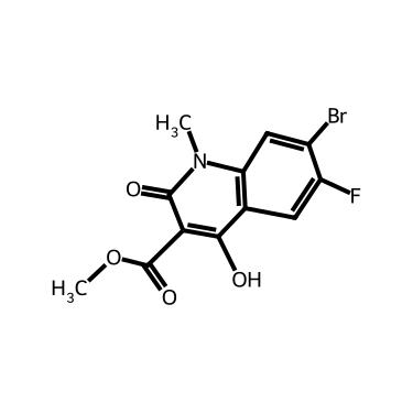 COC(=O)c1c(O)c2cc(F)c(Br)cc2n(C)c1=O